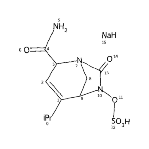 CC(C)C1=CC(C(N)=O)N2CC1N(OS(=O)(=O)O)C2=O.[NaH]